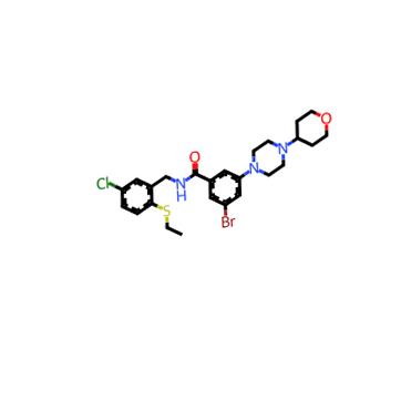 CCSc1ccc(Cl)cc1CNC(=O)c1cc(Br)cc(N2CCN(C3CCOCC3)CC2)c1